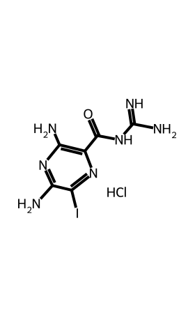 Cl.N=C(N)NC(=O)c1nc(I)c(N)nc1N